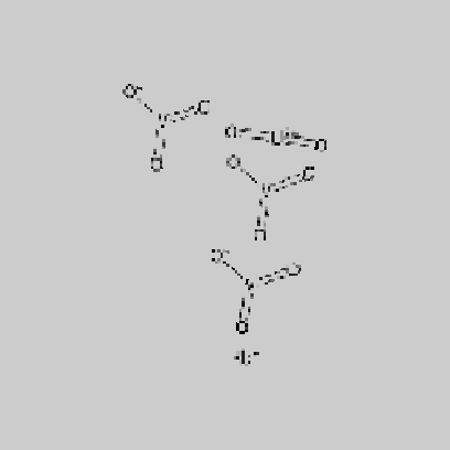 [O]=[U+2]=[O].[O]=[V](=[O])[O-].[O]=[V](=[O])[O-].[O]=[V](=[O])[O-].[Rb+]